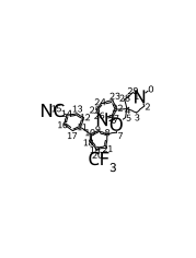 CN1CCC(COCc2cc(-c3ccc(C#N)cc3)cc(C(F)(F)F)c2)(c2cccnc2)CC1